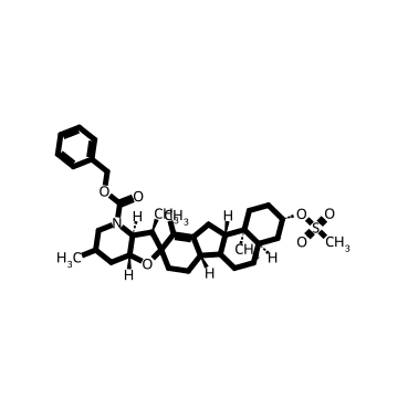 CC1=C2C[C@H]3C(CC[C@@H]4C[C@@H](OS(C)(=O)=O)CC[C@@]43C)[C@@H]2CCC12O[C@@H]1CC(C)CN(C(=O)OCc3ccccc3)[C@H]1[C@H]2C